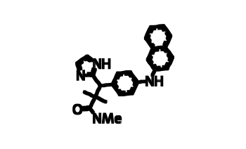 CNC(=O)C(C)(C)C(c1ccc(Nc2ccc3ccccc3c2)cc1)c1ncc[nH]1